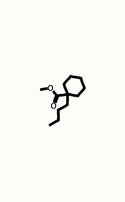 CCCCC1(C(=O)OC)CCCCC1